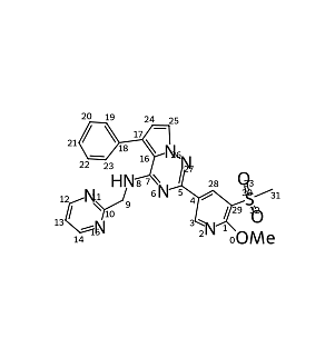 COc1ncc(-c2nc(NCc3ncccn3)c3c(-c4ccccc4)ccn3n2)cc1S(C)(=O)=O